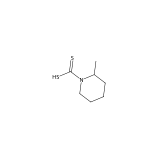 CC1CCCCN1C(=S)S